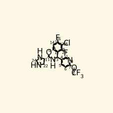 O=C(NC(c1ccc(OC(F)(F)F)nc1)c1ccc(F)c(Cl)c1F)[C@@H]1CNCN1